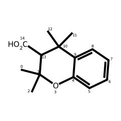 CC1(C)Oc2ccccc2C(C)(C)C1C(=O)O